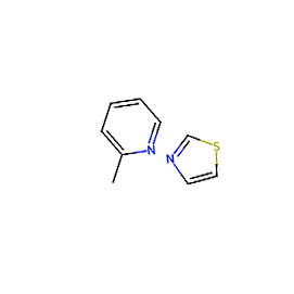 Cc1ccccn1.c1cscn1